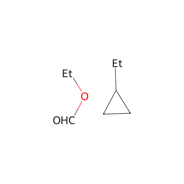 CCC1CC1.CCOC=O